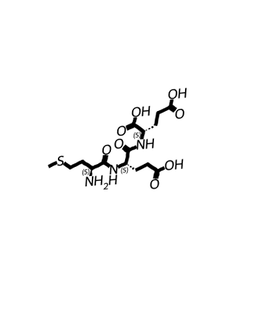 CSCC[C@H](N)C(=O)N[C@@H](CCC(=O)O)C(=O)N[C@@H](CCC(=O)O)C(=O)O